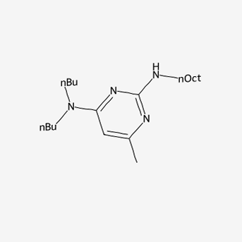 CCCCCCCCNc1nc(C)cc(N(CCCC)CCCC)n1